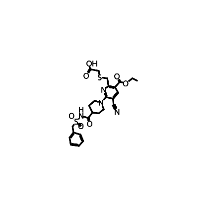 CCOC(=O)c1cc(C#N)c(N2CCC(C(=O)NS(=O)(=O)Cc3ccccc3)CC2)nc1CSCC(=O)O